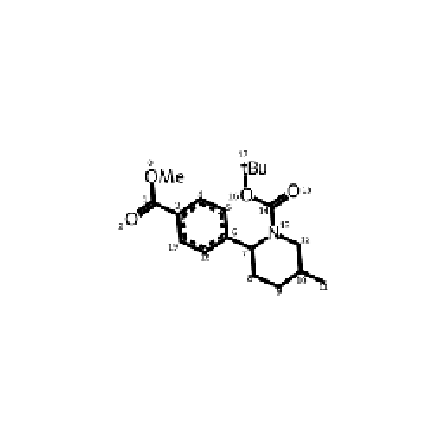 COC(=O)c1ccc(C2CCC(C)CN2C(=O)OC(C)(C)C)cc1